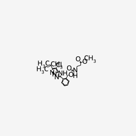 COC(=O)CCNC(=O)OCc1ccccc1-c1nn2nc(C(C)(C)C)c(Cl)c2[nH]1